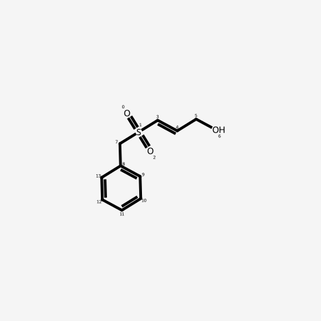 O=S(=O)(C=CCO)Cc1ccccc1